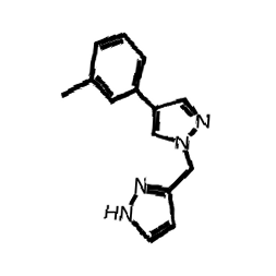 Cc1cccc(-c2cnn(Cc3cc[nH]n3)c2)c1